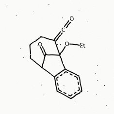 CCOC12C(=O)C(CCCC1=C=O)c1ccccc12